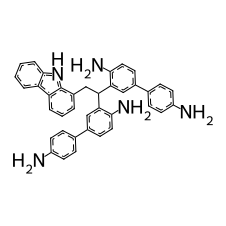 Nc1ccc(-c2ccc(N)c(C(Cc3cccc4c3[nH]c3ccccc34)c3cc(-c4ccc(N)cc4)ccc3N)c2)cc1